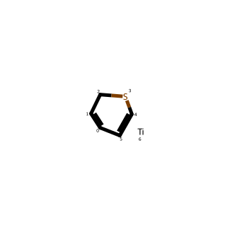 C1=CCSC=C1.[Ti]